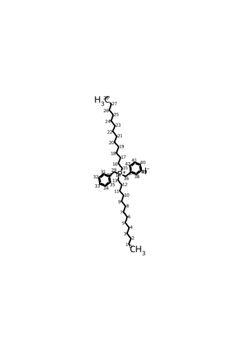 CCCCCCCCCCCCCC[P+](CCCCCCCCCCCCCC)(Cc1ccccc1)Cc1ccccc1.[I-]